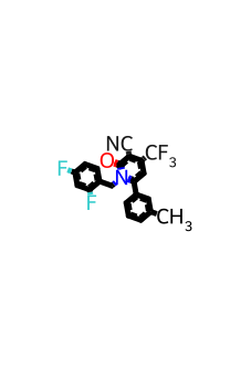 [C-]#[N+]c1c(C(F)(F)F)cc(-c2cccc(C)c2)n(Cc2ccc(F)cc2F)c1=O